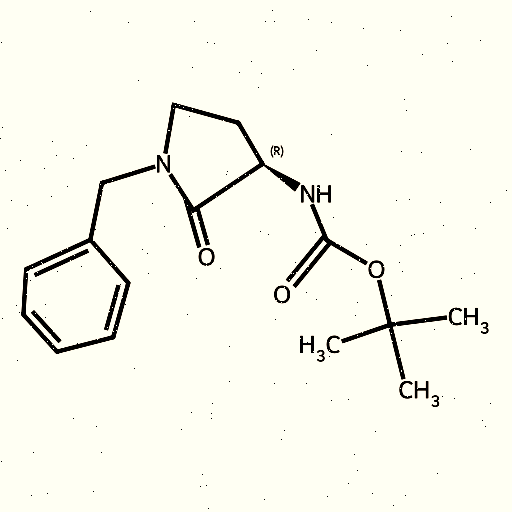 CC(C)(C)OC(=O)N[C@@H]1CCN(Cc2ccccc2)C1=O